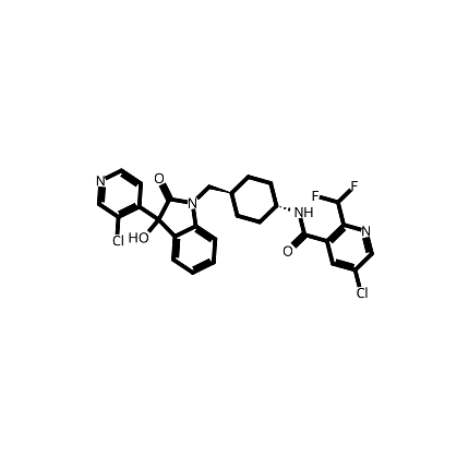 O=C(N[C@H]1CC[C@H](CN2C(=O)C(O)(c3ccncc3Cl)c3ccccc32)CC1)c1cc(Cl)cnc1C(F)F